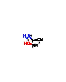 CC(C)O.N#CCN